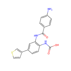 Nc1ccc(C(=O)Nc2cc(-c3ccsc3)ccc2NC(=O)O)cc1